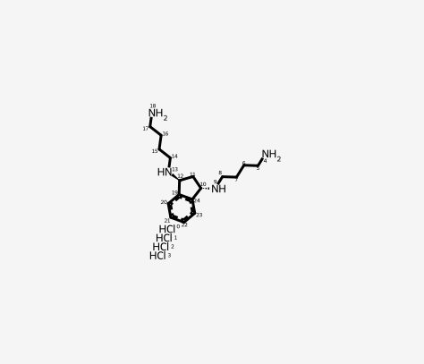 Cl.Cl.Cl.Cl.NCCCCN[C@H]1C[C@H](NCCCCN)c2ccccc21